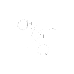 CC(C)OOC(C)(CC(C)(C)c1ccccc1)c1ccccc1